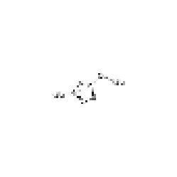 CC(C)(C)Oc1c[n+](C(C)(C)C)cs1